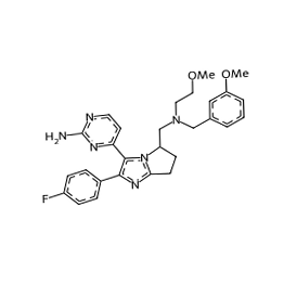 COCCN(Cc1cccc(OC)c1)CC1CCc2nc(-c3ccc(F)cc3)c(-c3ccnc(N)n3)n21